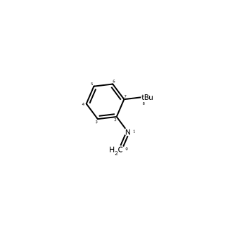 C=Nc1ccccc1C(C)(C)C